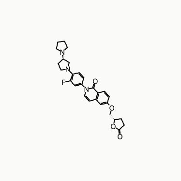 O=C1CC[C@@H](COc2ccc3c(=O)n(-c4ccc(N5CC[C@@H](N6CCCC6)C5)c(F)c4)ccc3c2)O1